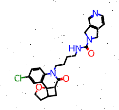 O=C(NCCCCN1C(=O)C2CC3CCOC32c2cc(Cl)ccc21)N1Cc2ccncc2C1